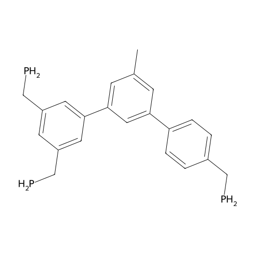 Cc1cc(-c2ccc(CP)cc2)cc(-c2cc(CP)cc(CP)c2)c1